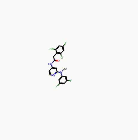 CC(=O)N(c1cc(F)cc(F)c1)c1cc(NC(=O)Cc2c(Cl)cc(F)cc2Cl)ccn1